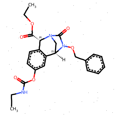 CCNC(=O)Oc1ccc2c(c1)[C@H]1CN(C(=O)N1OCc1ccccc1)[C@H]2C(=O)OCC